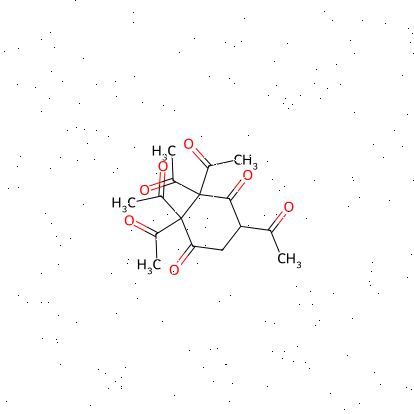 CC(=O)C1CC(=O)C(C(C)=O)(C(C)=O)C(C(C)=O)(C(C)=O)C1=O